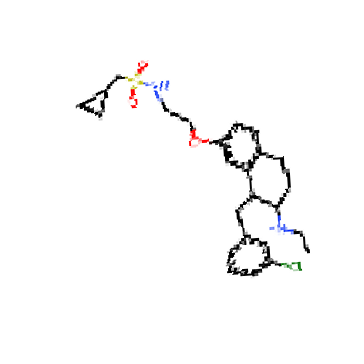 CCNC1CCc2ccc(OCCNS(=O)(=O)CC3CC3)cc2C1Cc1cccc(Cl)c1